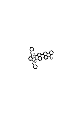 O=C1c2ccccc2-c2ccc3c4ccc5c6c(ccc(c7ccc1c2c73)c64)C(=O)N(c1c(CCC2CCCCC2)cccc1CCC1CCCCC1)C5=O